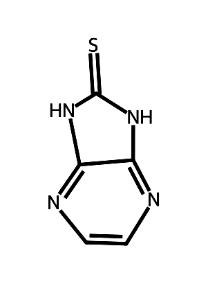 S=c1[nH]c2nccnc2[nH]1